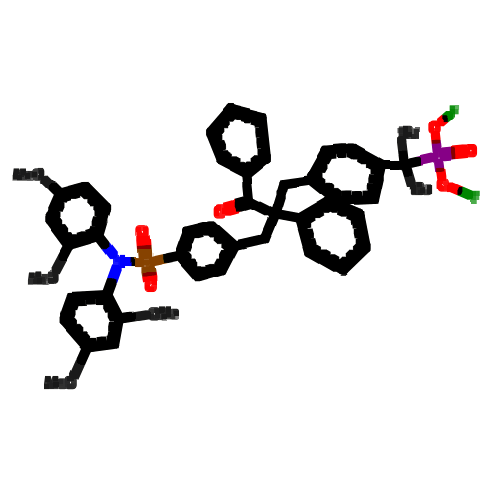 COc1ccc(N(c2ccc(OC)cc2OC)S(=O)(=O)c2ccc(CC(Cc3ccc(C(C(C)(C)C)(C(C)(C)C)P(=O)(OF)OF)cc3)(C(=O)c3ccccc3)c3ccccc3)cc2)c(OC)c1